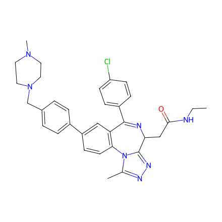 CCNC(=O)CC1N=C(c2ccc(Cl)cc2)c2cc(-c3ccc(CN4CCN(C)CC4)cc3)ccc2-n2c(C)nnc21